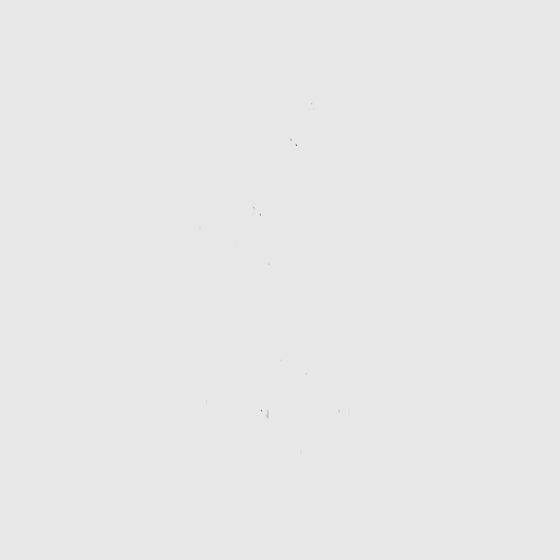 CC(=O)N1CCN(S(=O)(=O)CCCS(=O)(=O)NS(=O)(=O)C(F)(F)F)CC1